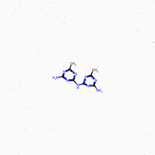 Cc1nc(N)nc(Nc2nc(C)nc(N)n2)n1